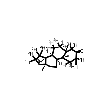 [2H]C1([2H])C[C@@]2(C)CC[C@@H]3[C@@]4(C)C([2H])([2H])C([2H])([2H])C(=O)C([2H])([2H])[C@]4([2H])C([2H])([2H])C([2H])([2H])[C@]3([2H])[C@]2([2H])C1([2H])[2H]